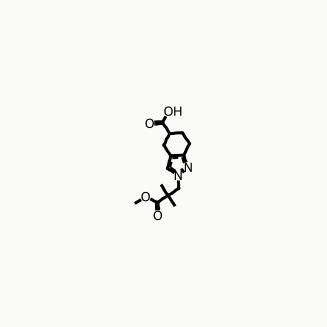 COC(=O)C(C)(C)Cn1cc2c(n1)CCC(C(=O)O)C2